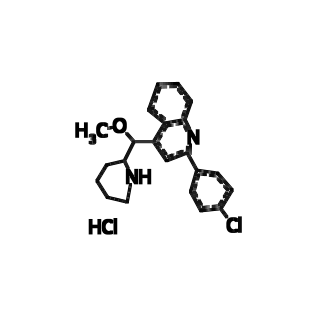 COC(c1cc(-c2ccc(Cl)cc2)nc2ccccc12)C1CCCCN1.Cl